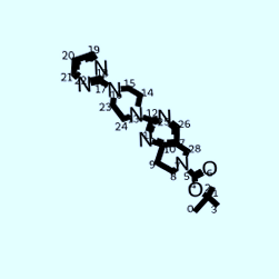 CC(C)(C)OC(=O)N1CCc2nc(N3CCN(c4ncccn4)CC3)ncc2C1